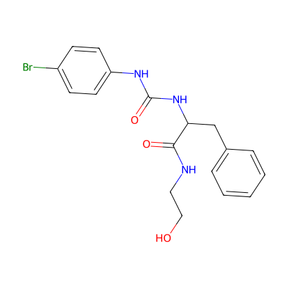 O=C(Nc1ccc(Br)cc1)NC(Cc1ccccc1)C(=O)NCCO